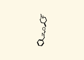 CN1CCC(=CO/C=N/Cc2ccccc2)CC1